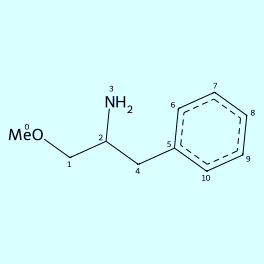 COCC(N)Cc1ccccc1